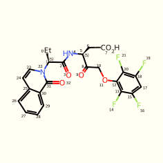 CC[C@@H](C(=O)N[C@@H](CC(=O)O)C(=O)COc1c(F)c(F)cc(F)c1F)n1ccc2ccccc2c1=O